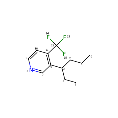 CCCC(CC)c1cnccc1C(F)(F)F